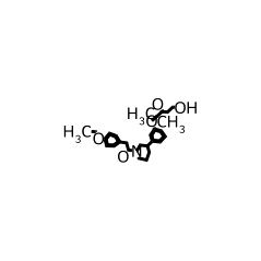 CCOc1ccc(CC(=O)N2CCCC(c3cccc(OC(C)(C)C(=O)CCO)c3)C2)cc1